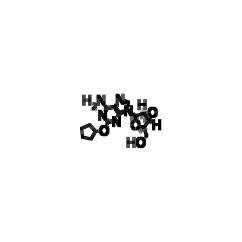 Nc1nc(OC2CCCC2)nc2c1ncn2[C@@H]1O[C@H](CO)[C@H]2O[C@@H]21